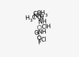 Cc1cnc(NC[C@H]2CC[C@@H](NC(=O)c3ccc(F)c(Cl)c3)CC2)cc1N(C)C.Cl